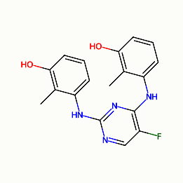 Cc1c(O)cccc1Nc1ncc(F)c(Nc2cccc(O)c2C)n1